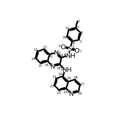 Cc1ccc(S(=O)(=O)Nc2nc3ccccc3nc2Nc2cccc3ncccc23)cc1